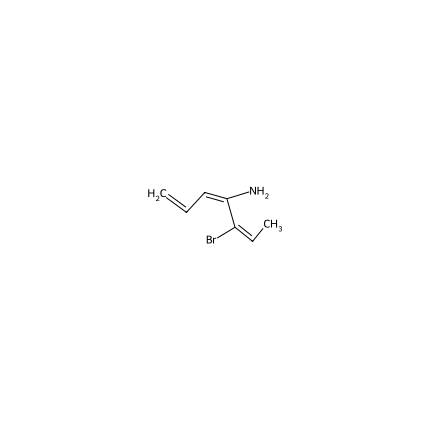 C=C/C=C(N)\C(Br)=C/C